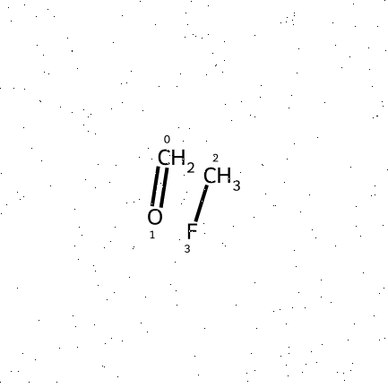 C=O.CF